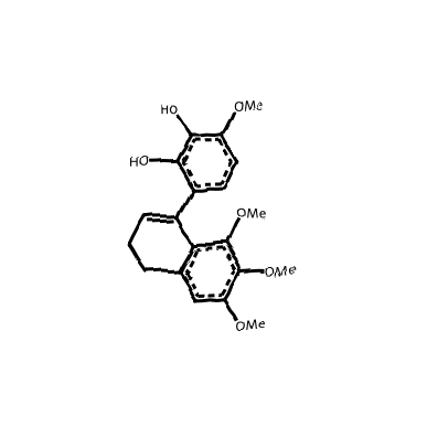 COc1ccc(C2=CCCc3cc(OC)c(OC)c(OC)c32)c(O)c1O